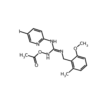 COc1cccc(C)c1CN=C(NOC(C)=O)Nc1ccc(I)cn1